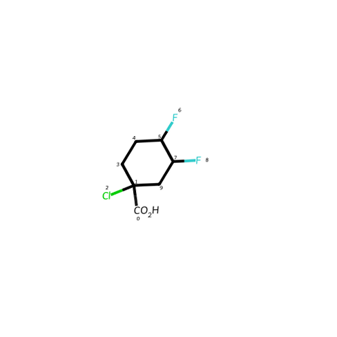 O=C(O)C1(Cl)CCC(F)C(F)C1